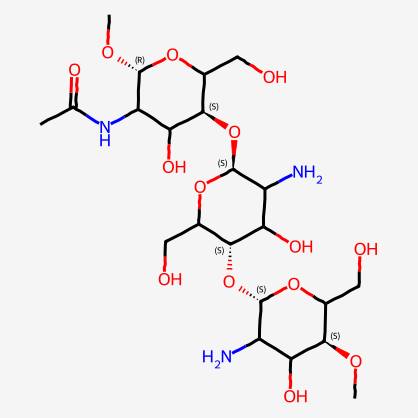 CO[C@@H]1OC(CO)[C@@H](O[C@@H]2OC(CO)[C@@H](O[C@@H]3OC(CO)[C@@H](OC)C(O)C3N)C(O)C2N)C(O)C1NC(C)=O